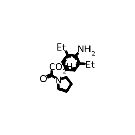 CCc1cccc(CC)c1N.O=C(O)C(=O)N1CCCC1